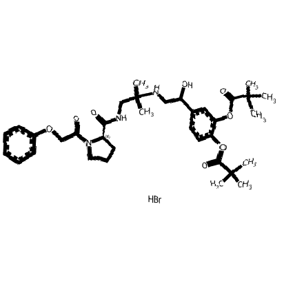 Br.CC(C)(CNC(=O)[C@H]1CCCN1C(=O)COc1ccccc1)NCC(O)c1ccc(OC(=O)C(C)(C)C)c(OC(=O)C(C)(C)C)c1